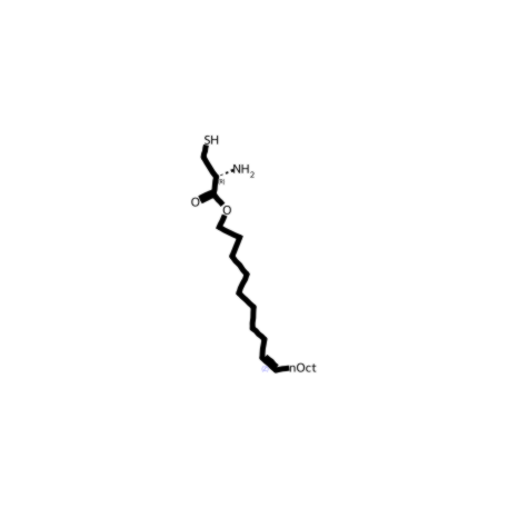 CCCCCCCC/C=C\CCCCCCCCOC(=O)[C@@H](N)CS